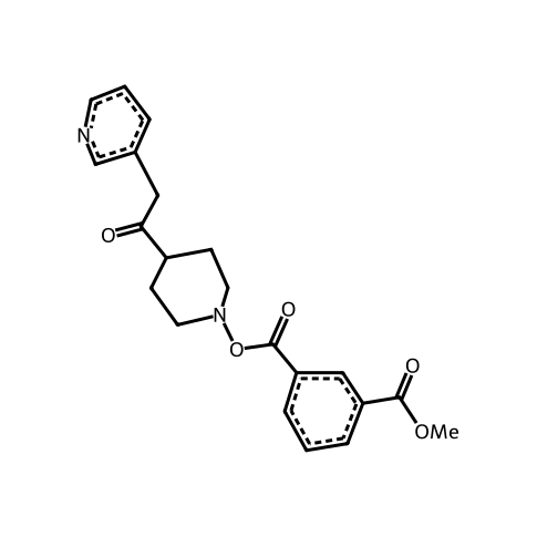 COC(=O)c1cccc(C(=O)ON2CCC(C(=O)Cc3cccnc3)CC2)c1